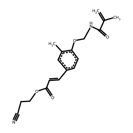 C=C(C)C(=O)NCOc1ccc(/C=C/C(=O)OCCC#N)cc1C